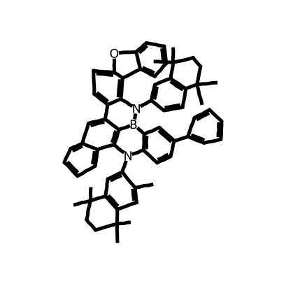 Cc1cc2c(cc1N1c3ccc(-c4ccccc4)cc3B3c4c(cc5ccccc5c41)-c1ccc4oc5ccccc5c4c1N3c1ccc3c(c1)C(C)(C)CCC3(C)C)C(C)(C)CCC2(C)C